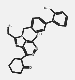 CC(C)(C)Cc1nc2c(C3CCCCC3=O)nnc(O)c2n1Cc1ccc(-c2ccccc2C(=O)O)cc1